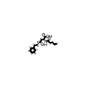 C=CCCC(=O)NC(CC(=O)SCCc1ccccc1)C(=O)O